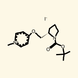 C[n+]1ccc(OC[C@@H]2CCCN2C(=O)OC(C)(C)C)cc1.[I-]